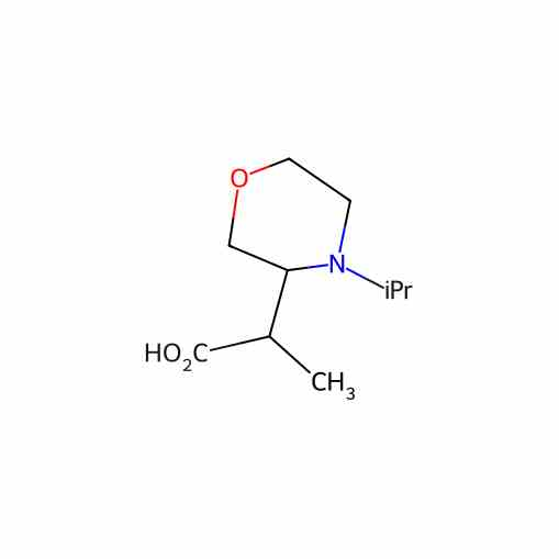 CC(C(=O)O)C1COCCN1C(C)C